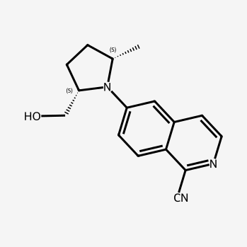 C[C@H]1CC[C@@H](CO)N1c1ccc2c(C#N)nccc2c1